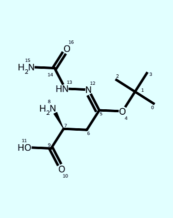 CC(C)(C)OC(C[C@H](N)C(=O)O)=NNC(N)=O